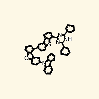 c1ccc(C2=NC(c3cccc4c3sc3ccc(-c5cccc6oc7ccc(-n8c9ccccc9c9ccccc98)cc7c56)cc34)=NC(c3ccccc3)N2)cc1